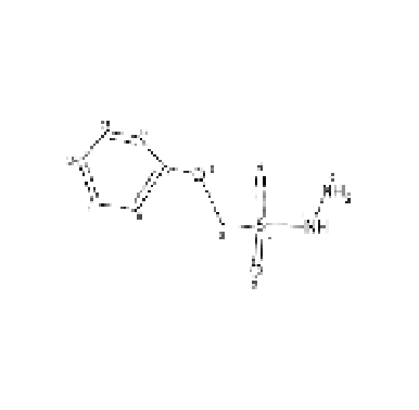 NNS(=O)(=O)COc1ccccc1